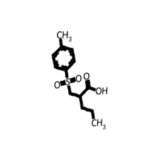 CCCC(CS(=O)(=O)c1ccc(C)cc1)C(=O)O